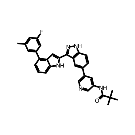 Cc1cc(F)cc(-c2cccc3[nH]c(-c4n[nH]c5ccc(-c6cncc(NC(=O)C(C)(C)C)c6)cc45)cc23)c1